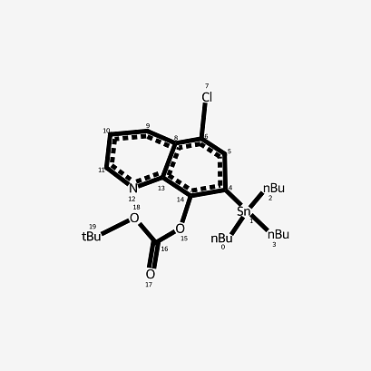 CCC[CH2][Sn]([CH2]CCC)([CH2]CCC)[c]1cc(Cl)c2cccnc2c1OC(=O)OC(C)(C)C